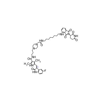 Cc1[nH]c(/C=C2\C(=O)Nc3ccc(F)cc32)c(C)c1C(=O)NCCCN1CCN(CC(=O)NCCCCCCCCNc2cccc3c2C(=O)N(C2CCC(=O)NC2=O)C3=O)CC1